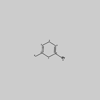 CC1=CCC=C(C(C)C)C1